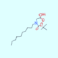 CCCCCCCCCCN(CC(=O)O)C(=O)OC(C)(C)C